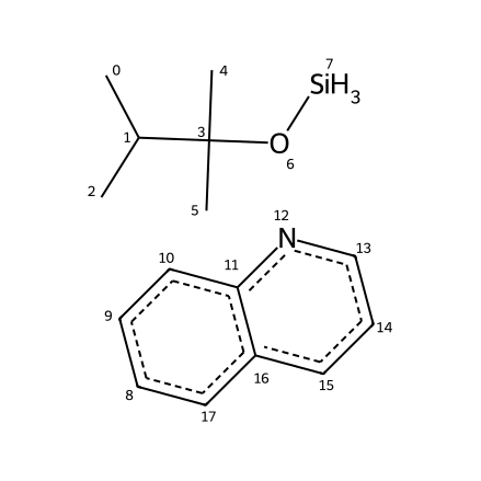 CC(C)C(C)(C)O[SiH3].c1ccc2ncccc2c1